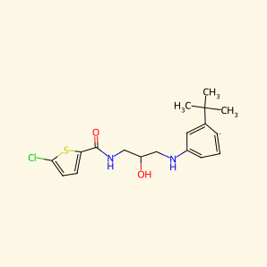 CC(C)(C)c1[c]ccc(NCC(O)CNC(=O)c2ccc(Cl)s2)c1